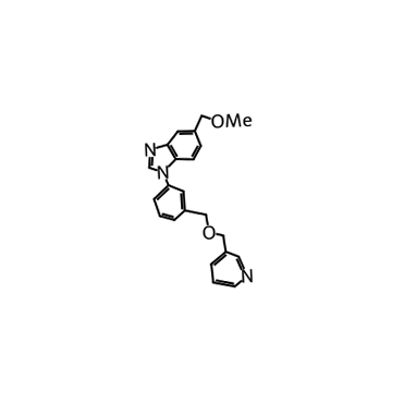 COCc1ccc2c(c1)ncn2-c1cccc(COCc2cccnc2)c1